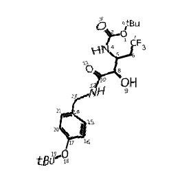 CC(C)(C)OC(=O)NC(CC(F)(F)F)C(O)C(=O)NCc1ccc(OC(C)(C)C)cc1